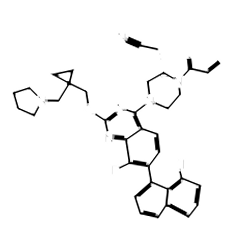 C=CC(=O)N1CCN(c2nc(OCC3(CN4CCCC4)CC3)nc3c(F)c(-c4cccc5cccc(Cl)c45)ccc23)C[C@@H]1CC#N